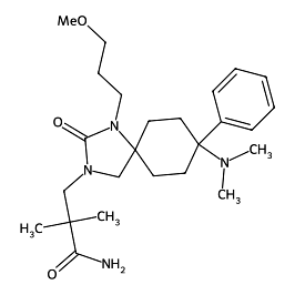 COCCCN1C(=O)N(CC(C)(C)C(N)=O)CC12CCC(c1ccccc1)(N(C)C)CC2